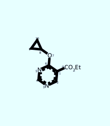 CCOC(=O)c1cncnc1OC1CC1